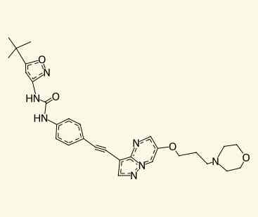 CC(C)(C)c1cc(NC(=O)Nc2ccc(C#Cc3cnn4cc(OCCCN5CCOCC5)cnc34)cc2)no1